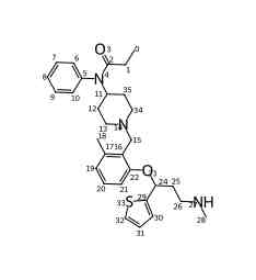 CCC(=O)N(c1ccccc1)C1CCN(Cc2c(C)cccc2OC(CCNC)c2cccs2)CC1